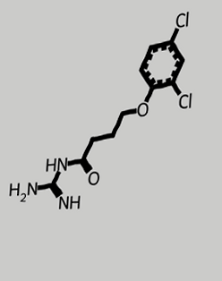 N=C(N)NC(=O)CCCOc1ccc(Cl)cc1Cl